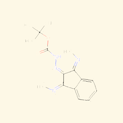 CN=c1c(=NNC(=O)OC(C)(C)C)c(=NC)c2ccccc12